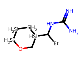 CCC(NC(=N)N)[SiH]1CO[SiH2][SiH2][SiH2]1